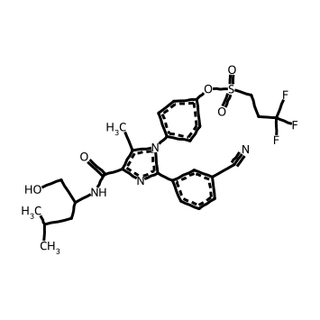 Cc1c(C(=O)NC(CO)CC(C)C)nc(-c2cccc(C#N)c2)n1-c1ccc(OS(=O)(=O)CCC(F)(F)F)cc1